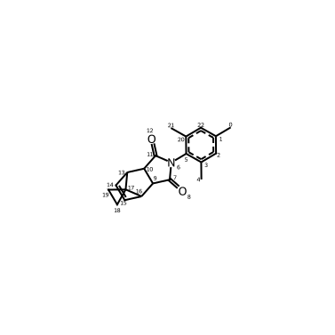 Cc1cc(C)c(N2C(=O)C3C(C2=O)C2C=CC3C23CC3)c(C)c1